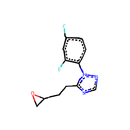 Fc1ccc(-n2ncnc2CCC2CO2)c(F)c1